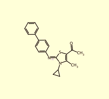 CC(=O)c1s/c(=N\c2ccc(-c3ccccc3)cc2)n(C2CC2)c1C